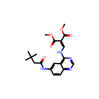 COC(=O)C(=CNc1ncnc2ccc(NC(=O)CC(C)(C)C)cc12)C(=O)OC